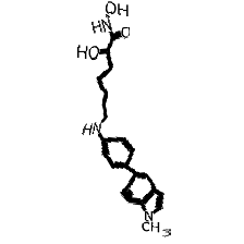 Cn1ccc2cc(-c3ccc(NCCCCCC(O)C(=O)NO)cc3)ccc21